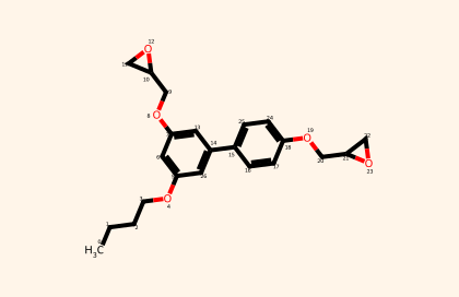 CCCCOc1cc(OCC2CO2)cc(-c2ccc(OCC3CO3)cc2)c1